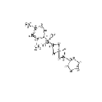 O=S(=O)(c1ccc(C(F)(F)F)nc1C(F)(F)F)N1CC2(CN(C3CCOCC3)C2)C1